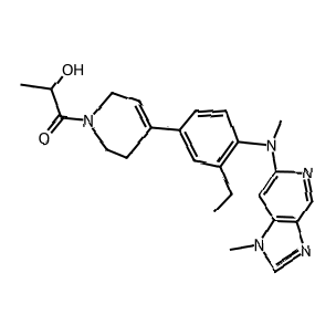 CCc1cc(C2=CCN(C(=O)C(C)O)CC2)ccc1N(C)c1cc2c(cn1)ncn2C